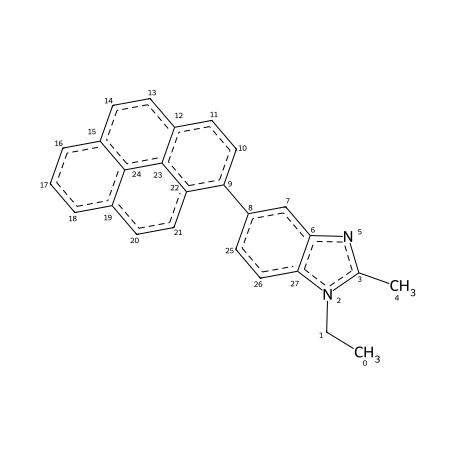 CCn1c(C)nc2cc(-c3ccc4ccc5cccc6ccc3c4c56)ccc21